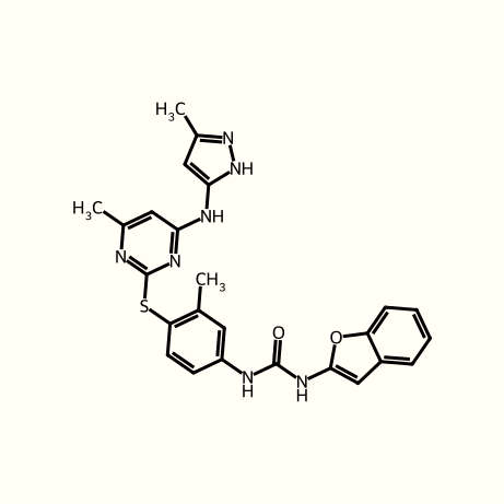 Cc1cc(Nc2cc(C)nc(Sc3ccc(NC(=O)Nc4cc5ccccc5o4)cc3C)n2)[nH]n1